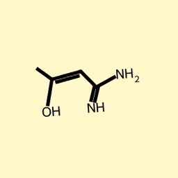 C/C(O)=C/C(=N)N